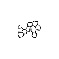 Clc1c2ccccc2cc2c1c1ccc3ccc4cccc5c6ccccc6n2c1c3c45